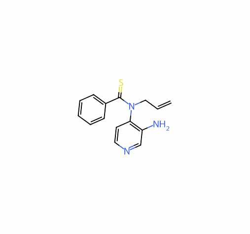 C=CCN(C(=S)c1ccccc1)c1ccncc1N